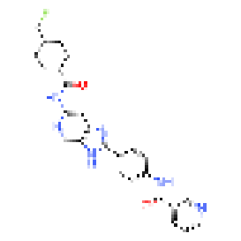 O=C(Nc1ccc(-c2nc3cc(NC(=O)C4CCC(CF)CC4)ncc3[nH]2)cc1)c1cccnc1